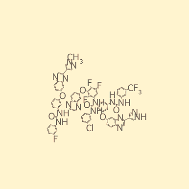 Cn1cc(-c2cnc3ccc(Oc4cccc(NC(=O)Nc5cccc(F)c5)c4)cc3n2)cn1.O=C(Nc1cccc(Cl)c1)Nc1cc(F)c(F)c(Oc2ccc3nccnc3c2)c1F.O=C(Nc1cccc(Oc2ccc3ncc(-c4cn[nH]c4)nc3c2)c1)Nc1cccc(C(F)(F)F)c1